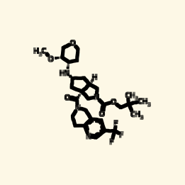 CO[C@@H]1COCC[C@@H]1N[C@@H]1C[C@H]2CN(C(=O)OCC(C)(C)C)C[C@@]2(C(=O)N2CCc3ncc(C(F)(F)F)cc3C2)C1